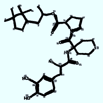 CC(CC1CCC(C)(C)C1(C)C)OC(=O)C1CCCN1C(=O)C1(NC(=O)C(O)Cc2ccc(O)c(O)c2)CCSCC1